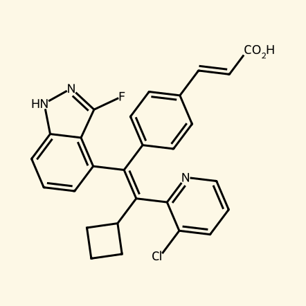 O=C(O)C=Cc1ccc(C(=C(c2ncccc2Cl)C2CCC2)c2cccc3[nH]nc(F)c23)cc1